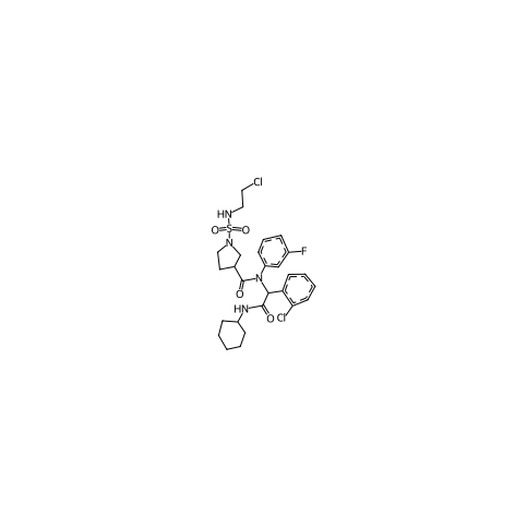 O=C(NC1CCCCC1)C(c1ccccc1Cl)N(C(=O)C1CCN(S(=O)(=O)NCCCl)C1)c1cccc(F)c1